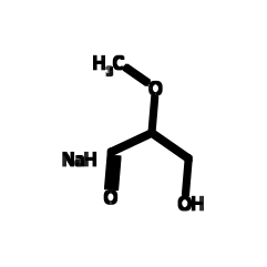 COC(C=O)CO.[NaH]